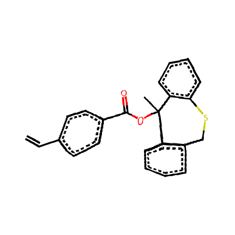 C=Cc1ccc(C(=O)OC2(C)c3ccccc3CSc3ccccc32)cc1